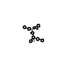 CC1(C)c2ccccc2-c2ccc(N(c3ccc(-c4ccccc4)cc3)c3ccc(-c4cc(-c5ccc(-c6ccccc6)cc5)c5oc6ccccc6c5c4)cc3)cc21